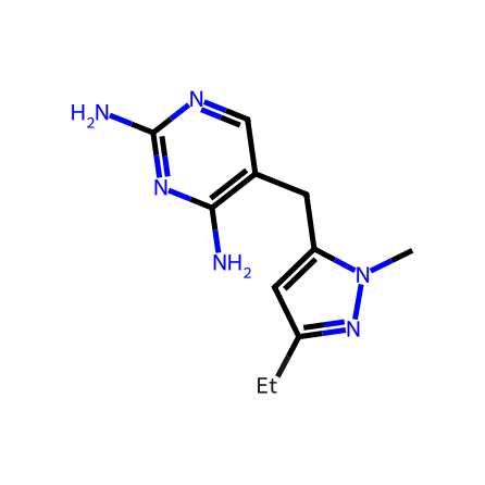 CCc1cc(Cc2cnc(N)nc2N)n(C)n1